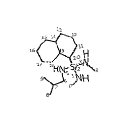 CN[Si](NC)(NCC(C)C)C1CCCC2CCCCC21